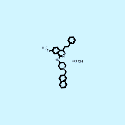 COc1ccc2c(CCc3ccccc3)nnc(NC3CCN(Cc4ccc5ccccc5c4)CC3)c2c1.Cl.Cl